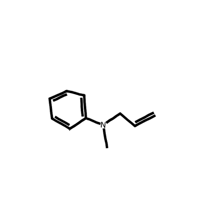 C=CCN(C)c1[c]cccc1